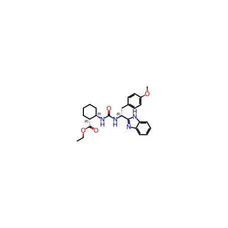 CCOC(=O)[C@@H]1CCCC[C@H]1NC(=O)N[C@H](Cc1ccc(OC)cc1)c1nc2ccccc2[nH]1